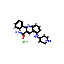 Cl.NC(=O)c1cc2c(NC3CCNCC3)cccc2nc1-c1ccccc1